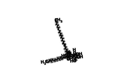 CCCCCCCCCCCCCCCCCCCCCCCCc1cn([C@@H](COC2OC(CO)C(O)C(O)C2O)[C@H](O)[C@H](O)CCCCCCCCCCCCCC)nn1